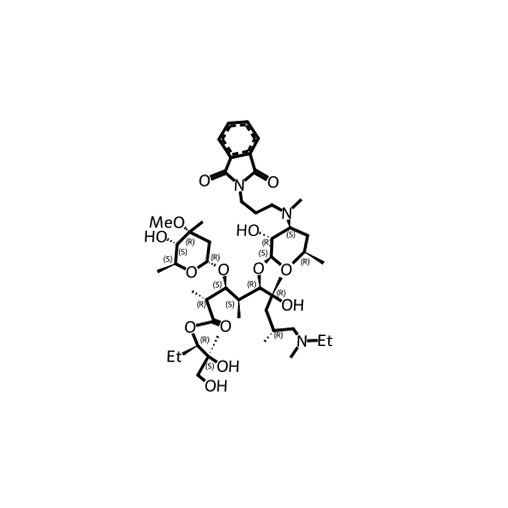 CC[C@@H](OC(=O)[C@H](C)[C@@H](O[C@H]1C[C@@](C)(OC)[C@@H](O)[C@H](C)O1)[C@H](C)[C@@H](O[C@@H]1O[C@H](C)C[C@H](N(C)CCCN2C(=O)c3ccccc3C2=O)[C@H]1O)[C@](C)(O)C[C@@H](C)CN(C)CC)[C@@](C)(O)CO